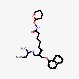 COCC(C)NCC(=CCCCCC(=O)NOC1CCCCO1)COc1cccc2ccccc12